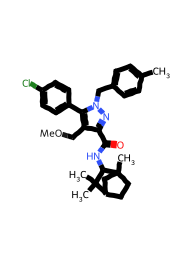 COCc1c(C(=O)NC2C3(C)CCC(C3)C2(C)C)nn(Cc2ccc(C)cc2)c1-c1ccc(Cl)cc1